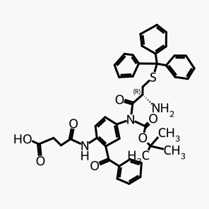 CC(C)(C)OC(=O)N(C(=O)[C@@H](N)CSC(c1ccccc1)(c1ccccc1)c1ccccc1)c1ccc(NC(=O)CCC(=O)O)c(C(=O)c2ccccc2)c1